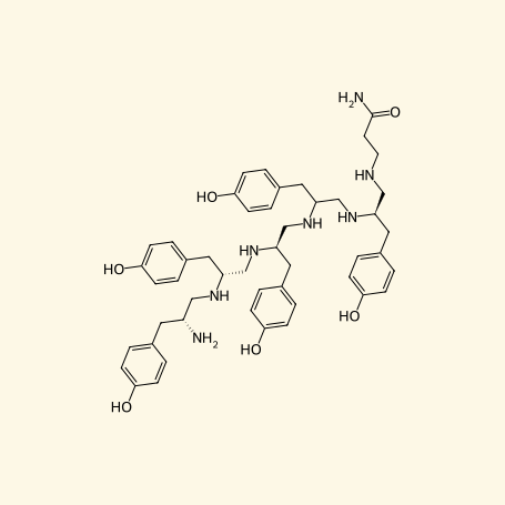 NC(=O)CCNC[C@@H](Cc1ccc(O)cc1)NCC(Cc1ccc(O)cc1)NC[C@@H](Cc1ccc(O)cc1)NC[C@@H](Cc1ccc(O)cc1)NC[C@H](N)Cc1ccc(O)cc1